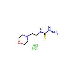 Cl.Cl.NNC(=S)NCCN1CCOCC1